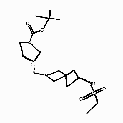 CCS(=O)(=O)NC1CC2(C1)CN(C[C@@H]1CCN(C(=O)OC(C)(C)C)C1)C2